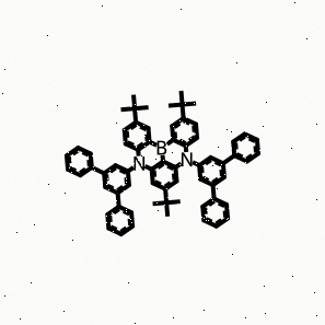 CC(C)(C)c1ccc2c(c1)B1c3cc(C(C)(C)C)ccc3N(c3cc(-c4ccccc4)cc(-c4ccccc4)c3)c3cc(C(C)(C)C)cc(c31)N2c1cc(-c2ccccc2)cc(-c2ccccc2)c1